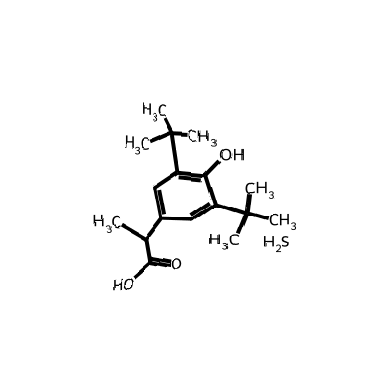 CC(C(=O)O)c1cc(C(C)(C)C)c(O)c(C(C)(C)C)c1.S